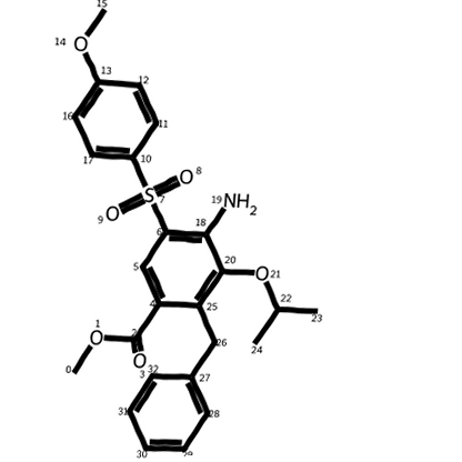 COC(=O)c1cc(S(=O)(=O)c2ccc(OC)cc2)c(N)c(OC(C)C)c1Cc1ccccc1